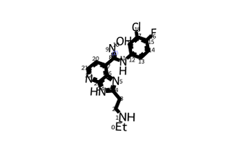 CCNCCc1nc2c(/C(=N/O)Nc3ccc(F)c(Cl)c3)ccnc2[nH]1